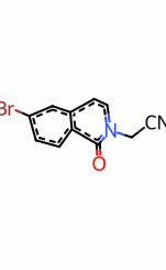 N#CCn1ccc2cc(Br)ccc2c1=O